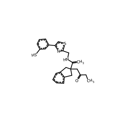 C=C(NCc1nc(-c2cccc(S)c2)cs1)C1(CC(=O)CC)Cc2ccccc2C1